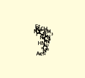 CCn1ncc(-c2nc3c(NC4CCN(CC(C)=O)C4)ncnc3n2C)c1C